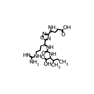 CCC(C)C(NC(=O)N[C@@H](CCCNC(=N)N)c1nc([C@@H](N)CCC(=O)O)no1)C(=O)O